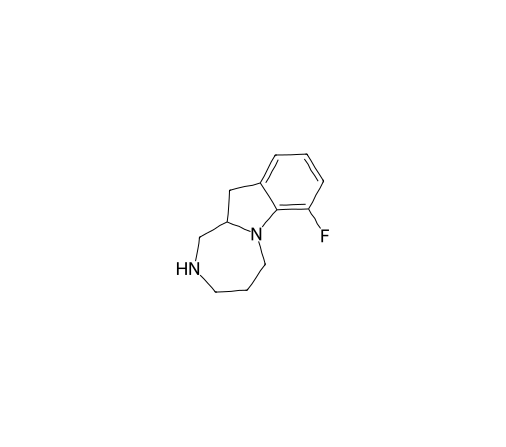 Fc1cccc2c1N1CCCNCC1C2